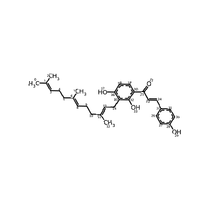 CC(C)=CCC/C(C)=C/CC/C(C)=C/Cc1c(O)ccc(C(=O)/C=C/c2ccc(O)cc2)c1O